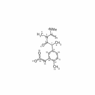 CNC(=S)N(C)C(=O)C(C)c1ccc(C)c(N=S(=O)=O)c1